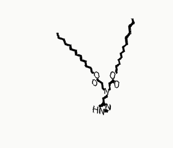 CCCCCCCCCCCCCCOC(=O)CCN(CCC(=O)OCCCCCCCCCCCCCC)CCc1c[nH]cn1